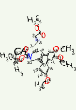 CCOC(=O)/C=C/C[C@@H]1Cc2c(c3ccc(OC)cc3c3cc(OC)c(OC)cc23)CN1C(=O)OC(C)(C)C